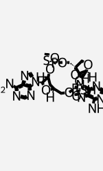 C#S[P@]1(=O)OC[C@@]23CO[C@@H]([C@H](n4cnc5c(N)ncnc54)O2)[C@@H]3O[P@@](=O)(S)OC[C@@H]2C[C@@H](O1)[C@H](n1cnc3c(N)ncnc31)O2